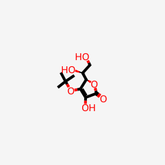 CC(C)(C)OC1=C(O)C(=O)O[C@@H]1[C@@H](O)CO